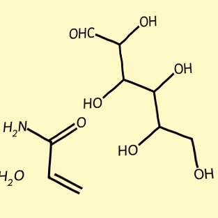 C=CC(N)=O.O.O=CC(O)C(O)C(O)C(O)CO